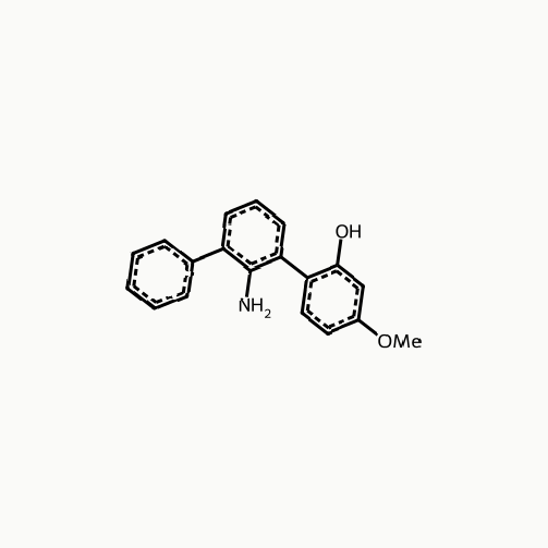 COc1ccc(-c2cccc(-c3ccccc3)c2N)c(O)c1